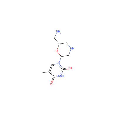 Cc1cn(C2CNCC(CN)O2)c(=O)[nH]c1=O